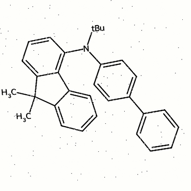 CC1(C)c2ccccc2-c2c(N(c3ccc(-c4ccccc4)cc3)C(C)(C)C)cccc21